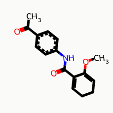 COC1=CCCC=C1C(=O)Nc1ccc(C(C)=O)cc1